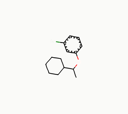 CC(Oc1cccc(Br)c1)C1CCCCC1